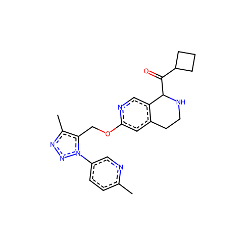 Cc1ccc(-n2nnc(C)c2COc2cc3c(cn2)C(C(=O)C2CCC2)NCC3)cn1